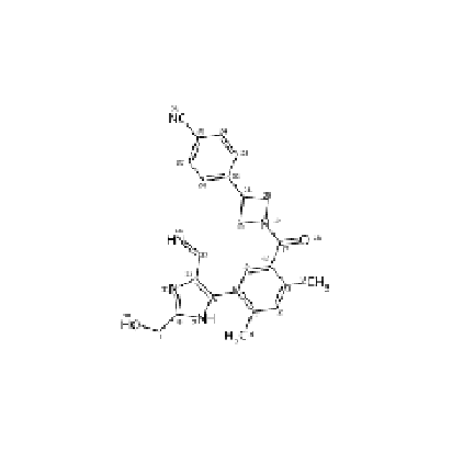 Cc1cc(C)c(-c2[nH]c(CO)nc2C=N)cc1C(=O)N1CC(c2ccc(C#N)cc2)C1